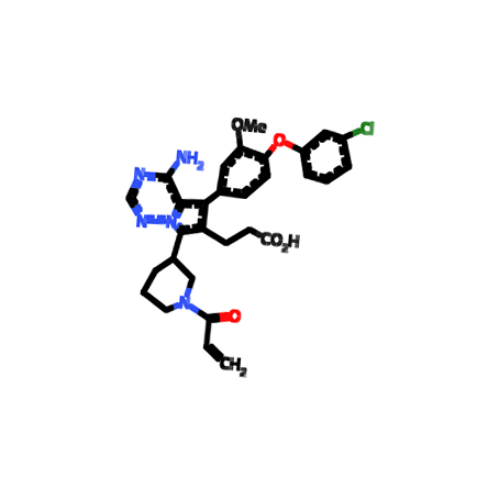 C=CC(=O)N1CCCC(c2c(CCC(=O)O)c(-c3ccc(Oc4cccc(Cl)c4)c(OC)c3)c3c(N)ncnn23)C1